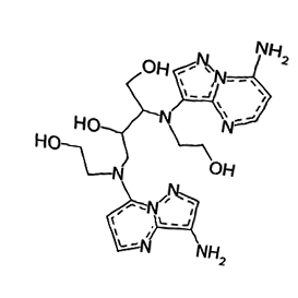 Nc1cnn2c(N(CCO)CC(O)C(CO)N(CCO)c3cnn4c(N)ccnc34)ccnc12